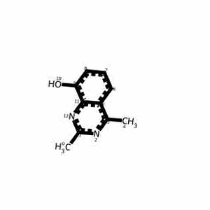 Cc1nc(C)c2cccc(O)c2n1